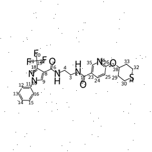 O=C(NCCNC(=O)c1cn(-c2ccccc2)nc1C(F)(F)F)c1ccc(OC2CCSCC2)nc1